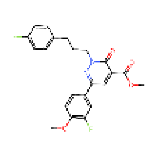 COC(=O)c1cc(-c2ccc(OC)c(F)c2)nn(CCCc2ccc(F)cc2)c1=O